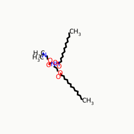 CCCCCCCCCCCCCC(=O)OCC(CNC(=O)OCCN(C)C)OC(=O)CCCCCCCCCCCCC